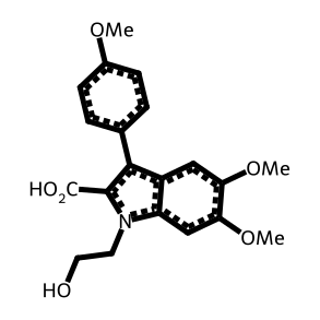 COc1ccc(-c2c(C(=O)O)n(CCO)c3cc(OC)c(OC)cc23)cc1